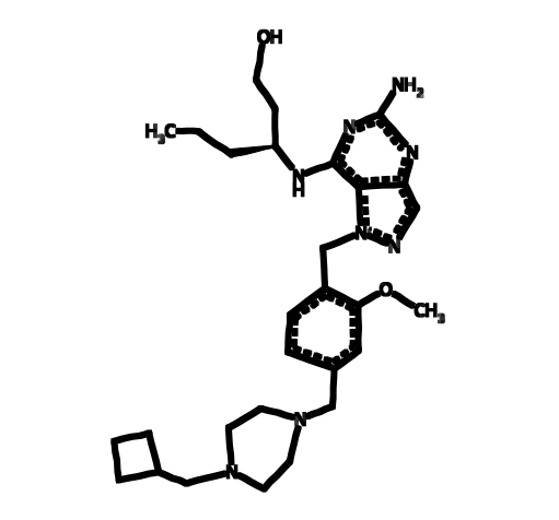 CCC[C@@H](CCO)Nc1nc(N)nc2cnn(Cc3ccc(CN4CCN(CC5CCC5)CC4)cc3OC)c12